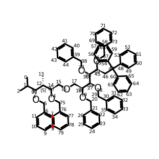 CC(C)[C@@H](OCc1ccccc1)[C@H](C)[C@@H](COC[C@H](OCc1ccccc1)[C@H](OCc1ccccc1)[C@@H](OCc1ccccc1)[C@H](CC(c1ccccc1)(c1ccccc1)c1ccccc1)OCc1ccccc1)OCc1ccccc1